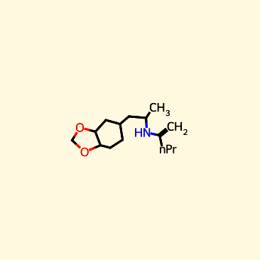 C=C(CCC)NC(C)CC1CCC2OCOC2C1